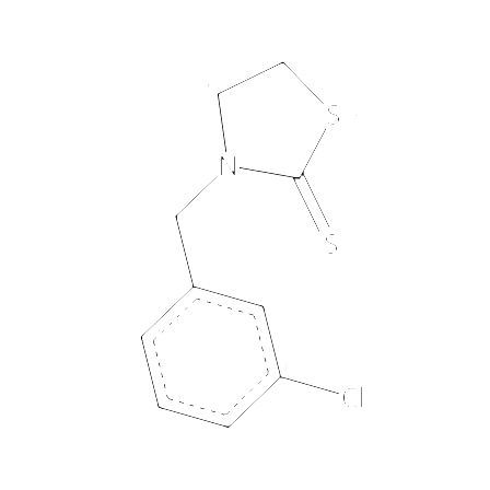 S=C1SCCN1Cc1cccc(Cl)c1